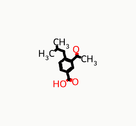 CC(=O)c1cc(C(=O)O)ccc1CC(C)C